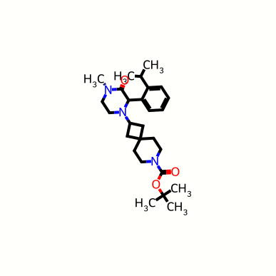 CC(C)c1ccccc1C1C(=O)N(C)CCN1C1CC2(CCN(C(=O)OC(C)(C)C)CC2)C1